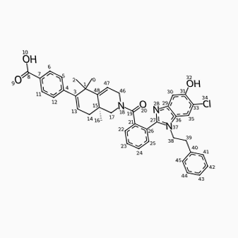 CC1(C)C(c2ccc(C(=O)O)cc2)=CC[C@]2(C)CN(C(=O)c3ccccc3-c3nc4cc(O)c(Cl)cc4n3CCc3ccccc3)CC=C12